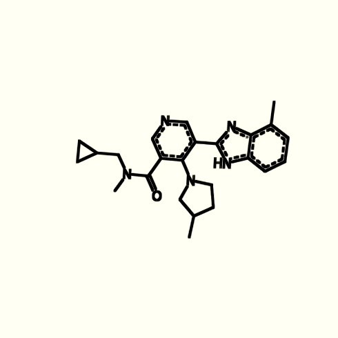 Cc1cccc2[nH]c(-c3cncc(C(=O)N(C)CC4CC4)c3N3CCC(C)C3)nc12